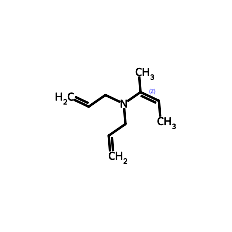 C=CCN(CC=C)/C(C)=C\C